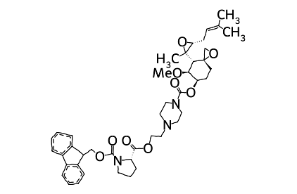 CO[C@H]1[C@H](C2(C)O[C@@H]2CC=C(C)C)[C@]2(CC[C@H]1OC(=O)N1CCN(CCOC(=O)[C@@H]3CCCN3C(=O)OCC3c4ccccc4-c4ccccc43)CC1)CO2